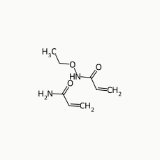 C=CC(=O)NOCC.C=CC(N)=O